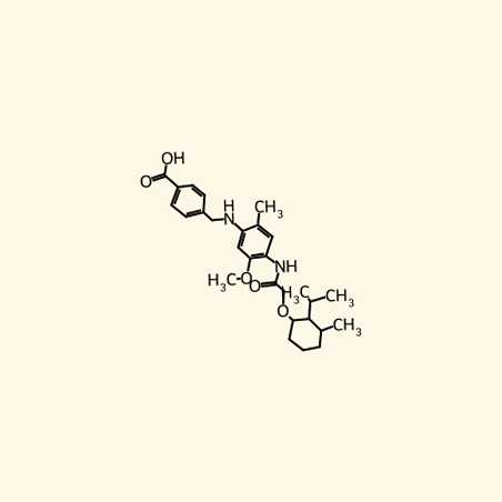 COc1cc(NCc2ccc(C(=O)O)cc2)c(C)cc1NC(=O)COC1CCCC(C)C1C(C)C